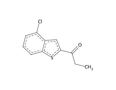 CCC(=O)c1cc2c(Cl)cccc2s1